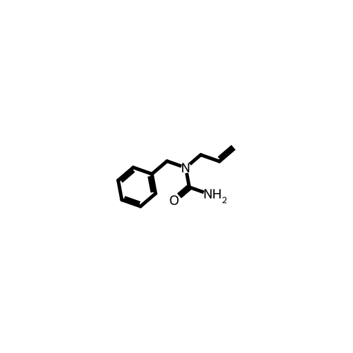 C=CCN(Cc1ccccc1)C(N)=O